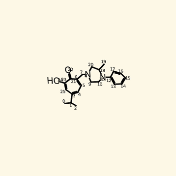 CC(C)c1ccc(CN2CCN(c3ccccc3)C(C)C2)c(=O)c(O)c1